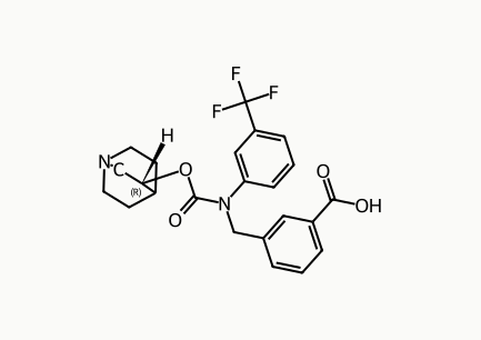 O=C(O)c1cccc(CN(C(=O)O[C@H]2CN3CCC2CC3)c2cccc(C(F)(F)F)c2)c1